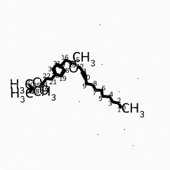 CCCCCCCCCCC#CCO[C@@H](C)Cc1ccc(CCC(=O)OC(C)(C)C)cc1